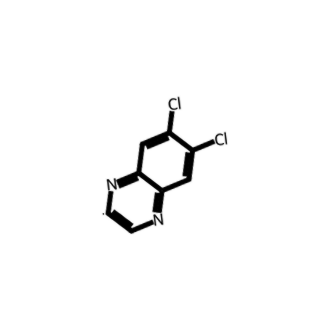 Clc1cc2n[c]cnc2cc1Cl